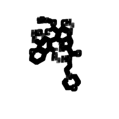 Cc1nc2cc(C(=O)NCCN3CCOCC3)nn2c(-c2cc(F)c3c(c2C)CCCO3)c1[C@H](OC(C)(C)C)C(=O)O